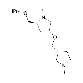 CC(C)OC[C@@H]1CC(OC[C@@H]2CCN(C)C2)CN1C